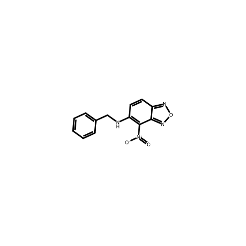 O=[N+]([O-])c1c(NCc2ccccc2)ccc2nonc12